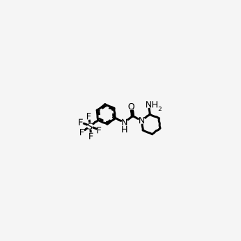 NC1CCCCN1C(=O)Nc1cccc(S(F)(F)(F)(F)F)c1